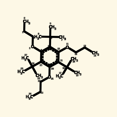 CCCOc1c(C(C)(C)C)c(OCCC)c(C(C)(C)C)c(OCCC)c1C(C)(C)C